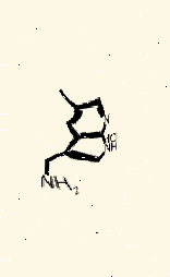 Cc1cnc2[nH]cc(CN)c2c1.Cl